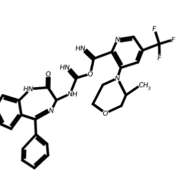 CC1COCCN1c1cc(C(F)(F)F)cnc1C(=N)OC(=N)NC1N=C(c2ccccc2)c2ccccc2NC1=O